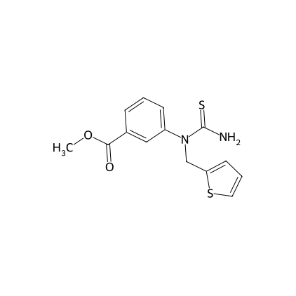 COC(=O)c1cccc(N(Cc2cccs2)C(N)=S)c1